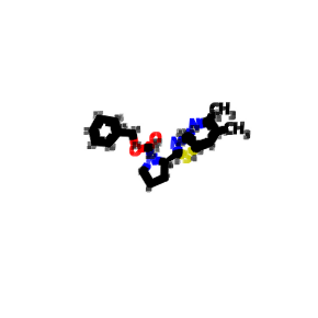 Cc1cc2sc([C@H]3CCCN3C(=O)OCc3ccccc3)nc2nc1C